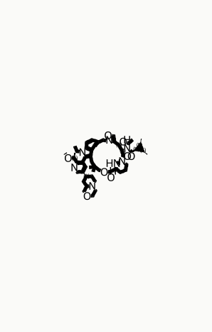 CCO[C@@H]1c2coc(n2)-c2ccc3c(c2)c(c(-c2cc([C@@H]4CCN5CCOCC5C4)cnc2[C@H](C)OC)n3CC)CC(C)(C)COC(=O)[C@@H]2CCCN(N2)C(=O)[C@H]1NC(=O)[C@H]1[C@H](C)[C@@H]1C